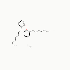 CCCCCCCCCCCCCCCCc1ccccc1Oc1ccccc1CCCCCCCCCCCCCCCC.[NaH].[NaH]